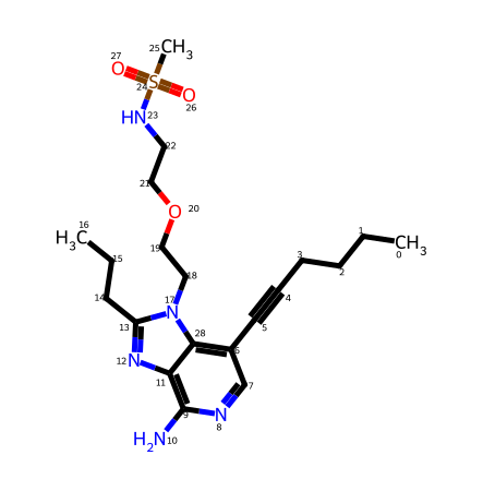 CCCCC#Cc1cnc(N)c2nc(CCC)n(CCOCCNS(C)(=O)=O)c12